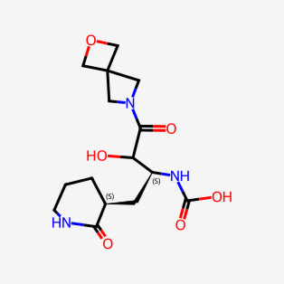 O=C(O)N[C@@H](C[C@@H]1CCCNC1=O)C(O)C(=O)N1CC2(COC2)C1